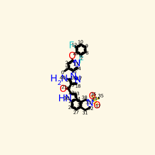 Cc1cc(Oc2c(F)cccc2F)ncc1-n1ncc(C(=O)c2cc3c4c(ccc3[nH]2)CCN(S(C)(=O)=O)C4)c1N